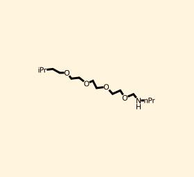 CCCNCOCCOCCOCCOCCC(C)C